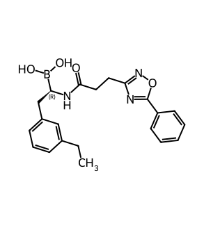 CCc1cccc(C[C@H](NC(=O)CCc2noc(-c3ccccc3)n2)B(O)O)c1